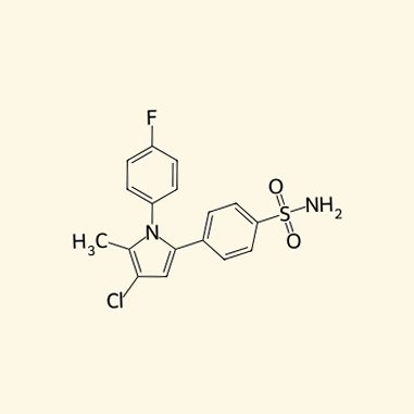 Cc1c(Cl)cc(-c2ccc(S(N)(=O)=O)cc2)n1-c1ccc(F)cc1